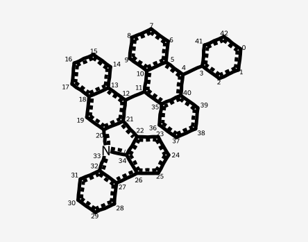 c1ccc(-c2c3ccccc3c(-c3c4ccccc4cc4c3c3cccc5c6ccccc6n4c53)c3ccccc23)cc1